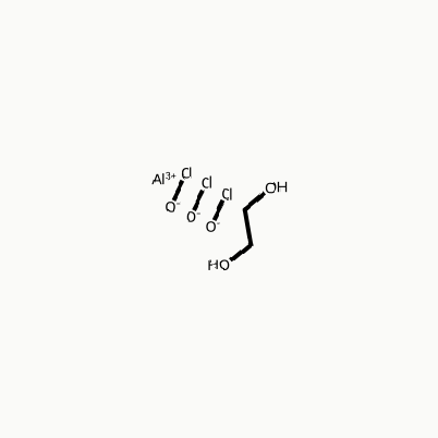 OCCO.[Al+3].[O-]Cl.[O-]Cl.[O-]Cl